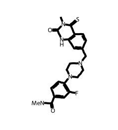 CNC(=O)c1ccc(N2CCN(Cc3ccc4c(=S)n(C)c(=O)[nH]c4c3)CC2)c(F)c1